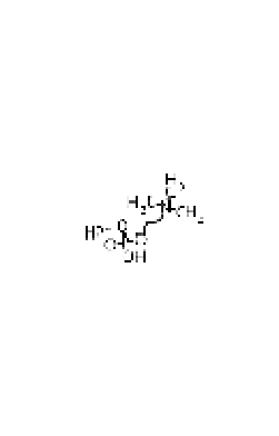 C[N+](C)(C)CCOP(=O)(O)O[PH-]